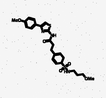 COCCCNS(=O)(=O)C1C=CC(CCC(=O)Nc2nc(-c3ccc(OC)cc3)cs2)=CC1